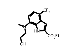 CCOC(=O)c1cc2c(C(F)(F)F)ccc(N(C)CCO)c2[nH]1